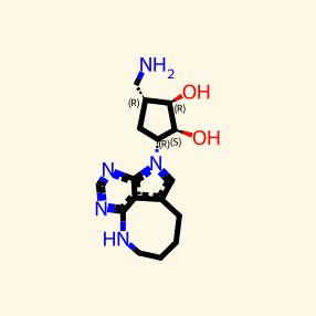 NC[C@H]1C[C@@H](n2cc3c4c(ncnc42)NCCCC3)[C@H](O)[C@@H]1O